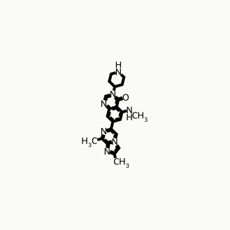 CNc1cc(-c2cn3cc(C)nc3c(C)n2)cc2ncn(C3CCNCC3)c(=O)c12